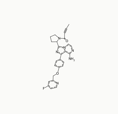 CC#CC(=O)N1CCCC1c1nc(-c2ccc(OCc3cc(F)ccn3)cc2)c2c(N)nccn12